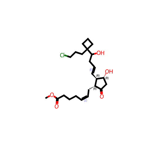 COC(=O)CCC/C=C\C[C@H]1C(=O)C[C@@H](O)[C@@H]1/C=C/CC(O)C1(CCCCl)CCC1